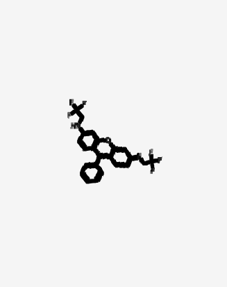 FC(F)(F)C/N=c1\ccc2c(-c3ccccc3)c3ccc(NCC(F)(F)F)cc3oc-2c1